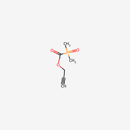 C#CCOC(=O)P(C)(C)=O